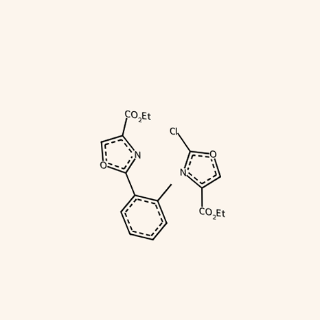 CCOC(=O)c1coc(-c2ccccc2C)n1.CCOC(=O)c1coc(Cl)n1